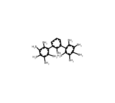 Bc1c(B)c(B)c(-c2cccc(-c3c(B)c(B)c(B)c(B)c3B)c2C(C)(C)C)c(B)c1B